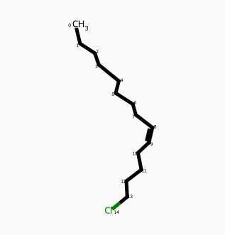 CCCCCCCC/C=C\CCCCCl